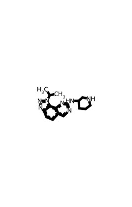 CC(C)n1nnc2ccc3cnc(NC4CCCNC4)nc3c21